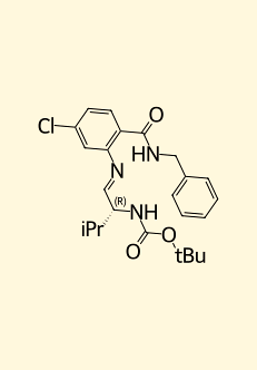 CC(C)[C@H](C=Nc1cc(Cl)ccc1C(=O)NCc1ccccc1)NC(=O)OC(C)(C)C